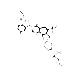 CCS(=O)(=O)c1ccc(Cl)cc1Cn1cnc2c(Cl)c(CN3CCC[C@H](NC(=O)CNC)C3)c(C(F)(F)F)cc2c1=O